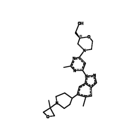 Cc1nc(N2CCO[C@H](CO)C2)cc(-n2ncc3cc(C)c(C4CCN(C5(C)COC5)CC4)cc32)n1